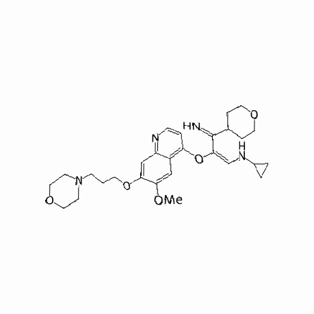 COc1cc2c(O/C(=C/NC3CC3)C(=N)C3CCOCC3)ccnc2cc1OCCCN1CCOCC1